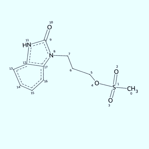 CS(=O)(=O)OCCCn1c(=O)[nH]c2ccccc21